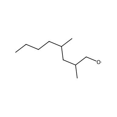 CCCCC(C)CC(C)C[O]